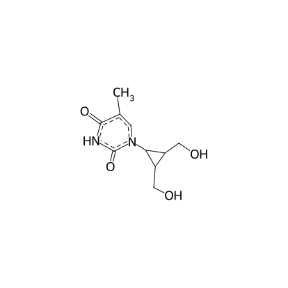 Cc1cn(C2C(CO)C2CO)c(=O)[nH]c1=O